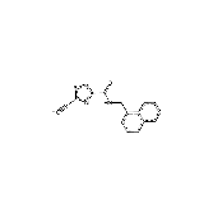 C#Cc1nc(C(=O)NCc2cccc3ccccc23)cs1